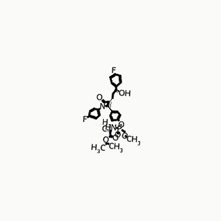 COCP(=O)(N[C@@H](C)C(=O)OC(C)C)Oc1ccc([C@@H]2[C@@H](CC[C@H](O)c3ccc(F)cc3)C(=O)N2c2ccc(F)cc2)cc1